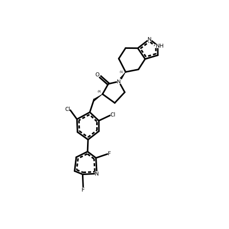 O=C1[C@H](Cc2c(Cl)cc(-c3ccc(F)nc3F)cc2Cl)CCN1[C@H]1CCc2n[nH]cc2C1